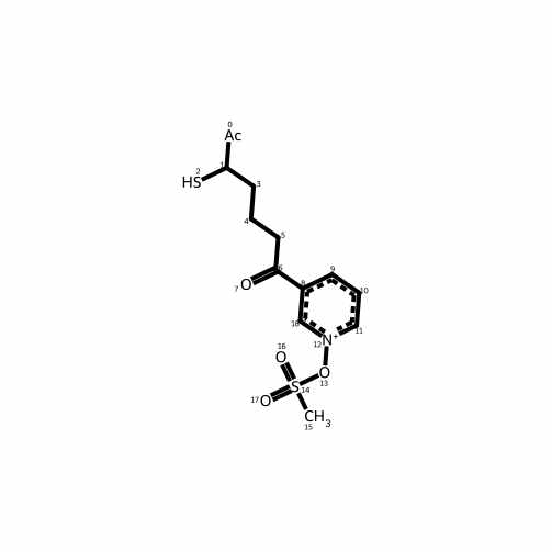 CC(=O)C(S)CCCC(=O)c1ccc[n+](OS(C)(=O)=O)c1